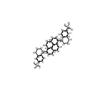 C[Si](C)(C)c1ccc2c(c1)CCCN2c1ccc2ccc3c(N4CCCc5cc([Si](C)(C)C)ccc54)ccc4ccc1c2c43